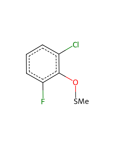 CSOc1c(F)cccc1Cl